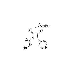 CC(C)(C)OC(=O)N1C(=O)C(O[Si](C)(C)C(C)(C)C)C1c1ccncc1